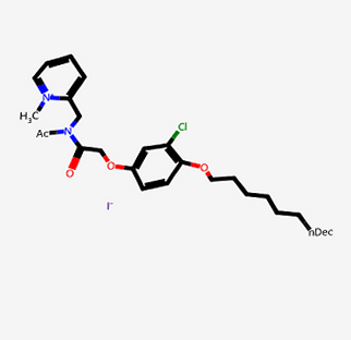 CCCCCCCCCCCCCCCCOc1ccc(OCC(=O)N(Cc2cccc[n+]2C)C(C)=O)cc1Cl.[I-]